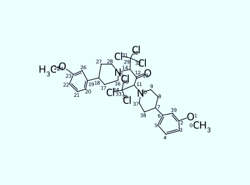 COc1cccc(C2CCN(C(C(=O)C(N3CCC(c4cccc(OC)c4)CC3)C(Cl)(Cl)Cl)C(Cl)(Cl)Cl)CC2)c1